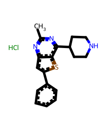 Cc1nc(C2CCNCC2)c2sc(-c3ccccc3)cc2n1.Cl